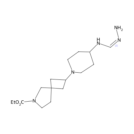 CCOC(=O)N1CCC2(CC(N3CCC(N/C=N\N)CC3)C2)C1